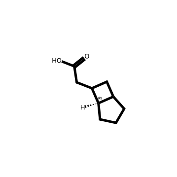 O=C(O)CC1CC2CCC[C@H]21